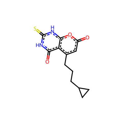 O=c1cc(CCCC2CC2)c2c(=O)[nH]c(=S)[nH]c2o1